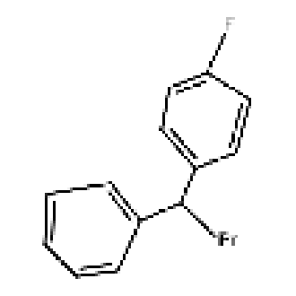 CC(C)[C](c1ccccc1)c1ccc(F)cc1